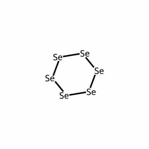 [Se]1[Se][Se][Se][Se][Se]1